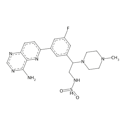 CN1CCN(C(CN[SH](=O)=O)c2cc(F)cc(-c3ccc4ncnc(N)c4n3)c2)CC1